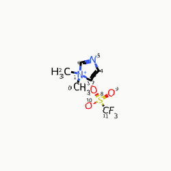 C[N+]1(C)C=CN=C1.O=S(=O)([O-])C(F)(F)F